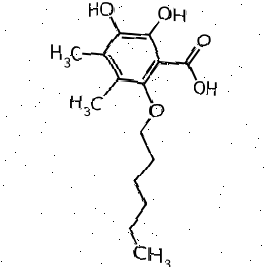 CCCCCCOc1c(C)c(C)c(O)c(O)c1C(=O)O